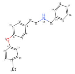 CCc1ccc(Oc2ccc(CCNCc3ccccc3)cc2)cc1